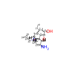 CCc1cc(O)c2c3c1C[C@@H]1[C@@H]4CC[C@@H](N)[C@H](O2)[C@]34CCN1CC1CC1